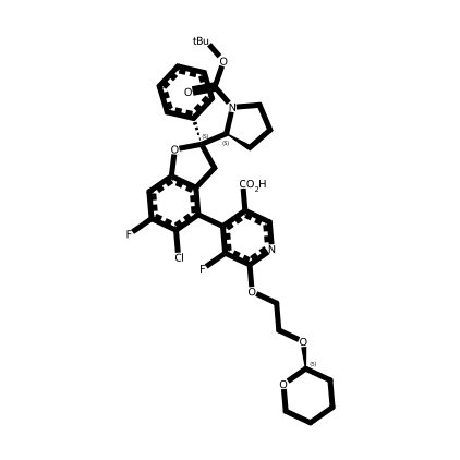 CC(C)(C)OC(=O)N1CCC[C@H]1[C@@]1(c2ccccc2)Cc2c(cc(F)c(Cl)c2-c2c(C(=O)O)cnc(OCCO[C@H]3CCCCO3)c2F)O1